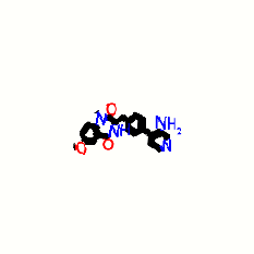 COc1ccc2c(c1)C(=O)NC(Cc1ccc(-c3ccncc3N)cc1)C(=O)N2C